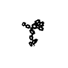 C1=CC2Oc3ccccc3C2C(C2=CC(C3=CC=C(N(C4=CC5C6CCC=CC6C6(C7=C(CCC=C7)C7C=CC=CC76)C5C=C4)C4CCC(C5C=CCCC5)CC4)CC3)=CCC2)=C1